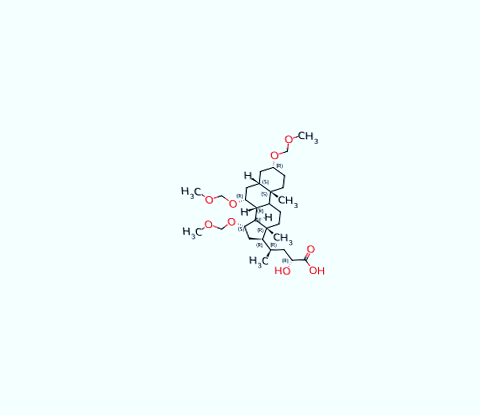 COCO[C@@H]1CC[C@]2(C)C3CC[C@@]4(C)[C@H]([C@@H]3[C@H](OCOC)C[C@@H]2C1)[C@@H](OCOC)C[C@@H]4[C@H](C)C[C@@H](O)C(=O)O